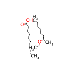 CCCCCCC(C)OCC.CCCCCCCCCC(=O)O